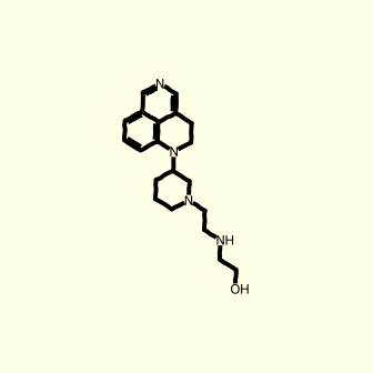 OCCNCCN1CCCC(N2CCc3cncc4cccc2c34)C1